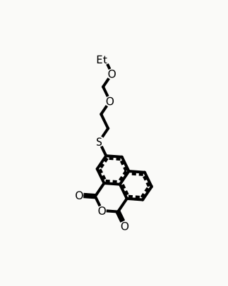 CCOCOCCSc1cc2c3c(cccc3c1)C(=O)OC2=O